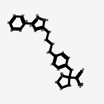 O=C(O)C1(Cc2ccc(OCCCc3cc(-c4ccccc4)no3)cc2)CCCO1